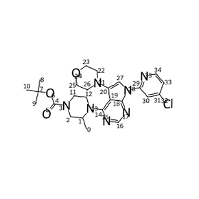 CC1CN(C(=O)OC(C)(C)C)CCN1c1ncnc2c1c(N1CCOCC1)cn2-c1cc(Cl)ccn1